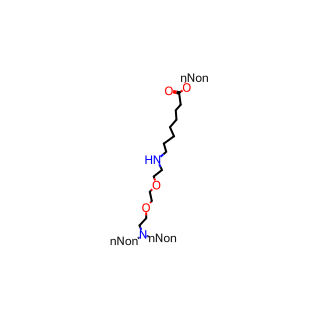 CCCCCCCCCOC(=O)CCCCCCCNCCOCCOCCN(CCCCCCCCC)CCCCCCCCC